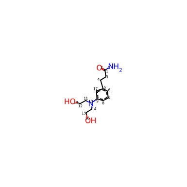 NC(=O)CCc1cccc(N(CCO)CCO)c1